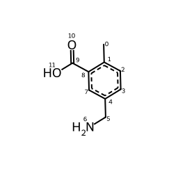 Cc1ccc(CN)cc1C(=O)O